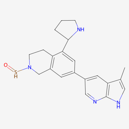 Cc1c[nH]c2ncc(-c3cc4c(c(C5CCCN5)c3)CCN([SH]=O)C4)cc12